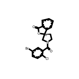 O=C1O[C@]2(CCN(C(=O)c3cc(Br)ccc3Cl)C2)c2ccccc21